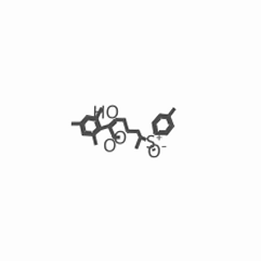 Cc1ccc([S+]([O-])C(C)CC2CC(O)=C(c3c(C)cc(C)cc3C)C(=O)O2)cc1